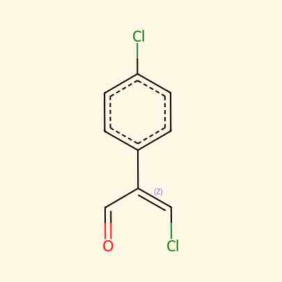 O=C/C(=C\Cl)c1ccc(Cl)cc1